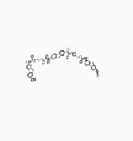 N#Cc1ccc2c(c1)Cc1cc(NC(=O)OCCCNC(=O)Nc3ccc4c(c3)Cc3cc(NC(=O)NCCCOC(=O)Nc5ccc6c(c5)Cc5cc(N=C=O)ccc5-6)ccc3-4)ccc1-2